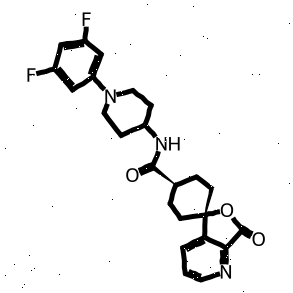 O=C1O[C@]2(CC[C@H](C(=O)NC3CCN(c4cc(F)cc(F)c4)CC3)CC2)c2cccnc21